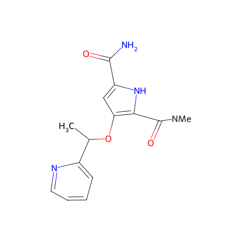 CNC(=O)c1[nH]c(C(N)=O)cc1OC(C)c1ccccn1